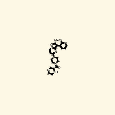 COc1ncccc1-c1cnn2ccc(N3CCN(C(=O)[C@@H]4COCCN4)CC3)nc12